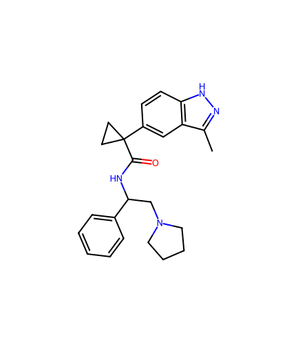 Cc1n[nH]c2ccc(C3(C(=O)NC(CN4CCCC4)c4ccccc4)CC3)cc12